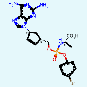 C[C@H](NP(=O)(OC[C@@H]1C=C[C@H](n2cnc3c(N)nc(N)nc32)C1)Oc1ccc(Br)cc1)C(=O)O